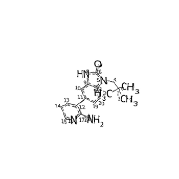 CC(C)(C)Cn1c(=O)[nH]c2cc(-c3cccnc3N)ccc21